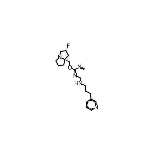 C=N/C(=N\CNCCCc1cccnc1)OC[C@@]12CCCN1C[C@H](F)C2